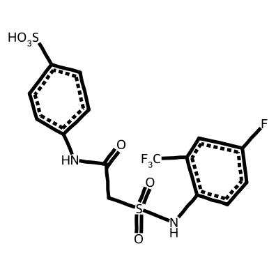 O=C(CS(=O)(=O)Nc1ccc(F)cc1C(F)(F)F)Nc1ccc(S(=O)(=O)O)cc1